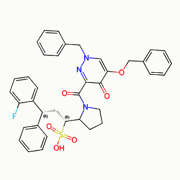 O=C(c1nn(Cc2ccccc2)cc(OCc2ccccc2)c1=O)N1CCCC1[C@@H](C[C@H](c1ccccc1)c1ccccc1F)S(=O)(=O)O